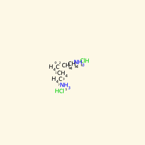 C.C.C.C.C.Cl.Cl.N.N